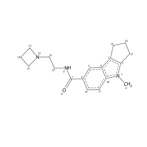 Cn1c2c(c3cc(C(=O)NCCN4CCC4)ccc31)CCC2